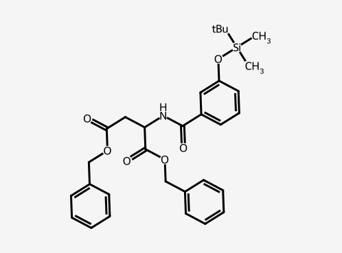 CC(C)(C)[Si](C)(C)Oc1cccc(C(=O)NC(CC(=O)OCc2ccccc2)C(=O)OCc2ccccc2)c1